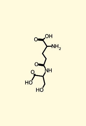 NC(CCC(=O)NC(CO)C(=O)O)C(=O)O